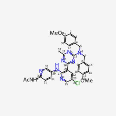 COc1ccc(CN(Cc2ccc(OC)cc2)c2nc(C)nc(-c3cc(Cl)cnc3Nc3ccc(NC(C)=O)nc3)n2)cc1